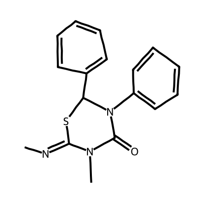 C/N=C1\SC(c2ccccc2)N(c2ccccc2)C(=O)N1C